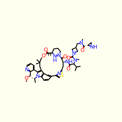 CCn1c(-c2cccnc2[C@H](C)OC)c2c3cc(ccc31)-c1csc(n1)C[C@H](NC(=O)C(C(C)C)N(C)C(=O)N1CC(CN(C)C(=O)[C@@H]3CN3)C1)C(=O)N1CCC[C@H](N1)C(=O)OCC(C)(C)C2